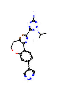 CC(C)n1nc(N)nc1-c1nc2c(s1)CCOc1cc(-c3cn[nH]c3)ccc1-2